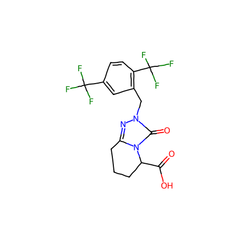 O=C(O)C1CCCc2nn(Cc3cc(C(F)(F)F)ccc3C(F)(F)F)c(=O)n21